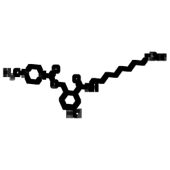 CCCCCCCCCCCCCCCCCCNC(=O)C1CC=CCC1COC(=O)N1CCN(C)CC1.Cl